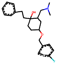 CN(C)CC1CC(OCc2ccc(F)cc2)CCC1(O)CCc1ccccc1